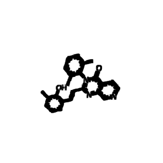 Cc1cccc(/C=C/c2nc3cnccc3c(=O)n2-c2c(C)cccc2C)c1O